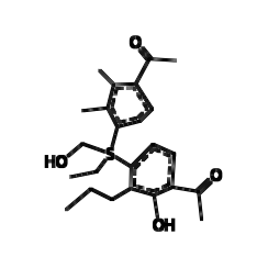 CCCc1c(S(CC)(CO)c2ccc(C(C)=O)c(C)c2C)ccc(C(C)=O)c1O